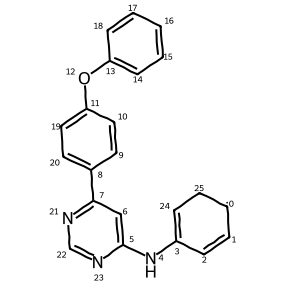 [CH]1C=CC(Nc2cc(-c3ccc(Oc4ccccc4)cc3)ncn2)=CC1